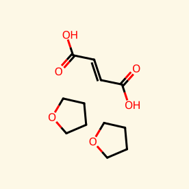 C1CCOC1.C1CCOC1.O=C(O)/C=C/C(=O)O